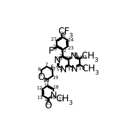 Cc1nc2nc([C@H]3CCO[C@@H](c4ccc(=O)n(C)c4)C3)nc(-c3ccc(C(F)(F)F)cc3F)c2nc1C